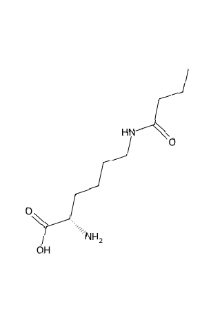 CCCC(=O)NCCCC[C@H](N)C(=O)O